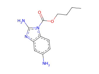 CCCCOC(=O)n1c(N)nc2cc(N)ccc21